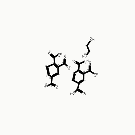 O=C(O)c1ccc(C(=O)O)c(C(=O)O)c1.O=C(O)c1ccc(C(=O)O)c(C(=O)O)c1.OCCO